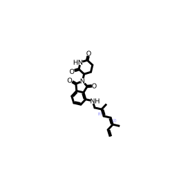 C=C/C(C)=C\C=C(/C)CNc1cccc2c1C(=O)N(C1CCC(=O)NC1=O)C2=O